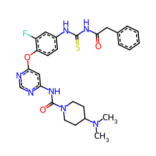 CN(C)C1CCN(C(=O)Nc2cc(Oc3ccc(NC(=S)NC(=O)Cc4ccccc4)cc3F)ncn2)CC1